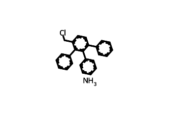 ClCc1ccc(-c2ccccc2)c(-c2ccccc2)c1-c1ccccc1.N